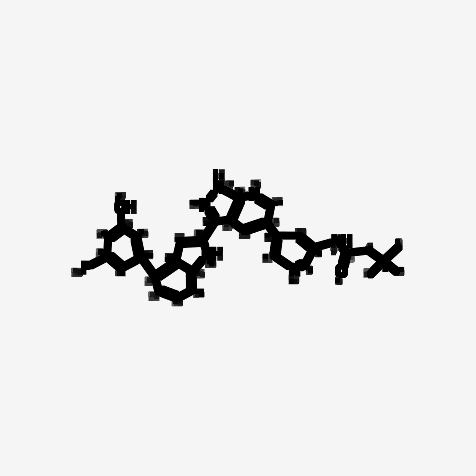 CC(C)(C)CC(=O)Nc1cncc(-c2cnc3[nH]nc(-c4cc5c(-c6cc(O)cc(F)c6)cccc5[nH]4)c3c2)c1